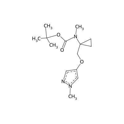 CN(C(=O)OC(C)(C)C)C1(COc2cnn(C)c2)CC1